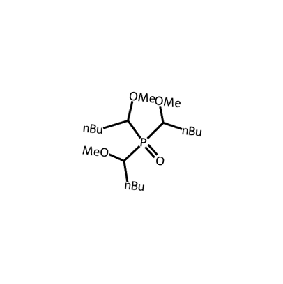 CCCCC(OC)P(=O)(C(CCCC)OC)C(CCCC)OC